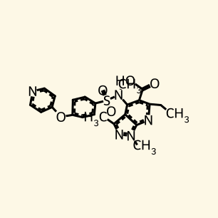 CCc1nc2c(c(C)nn2C)c(N(C)S(=O)(=O)c2ccc(Oc3ccncc3)cc2)c1C(=O)O